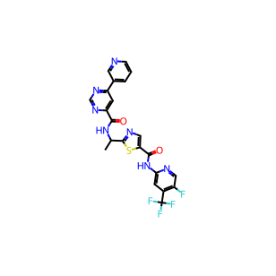 CC(NC(=O)c1cc(-c2cccnc2)ncn1)c1ncc(C(=O)Nc2cc(C(F)(F)F)c(F)cn2)s1